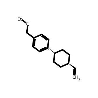 C=C[C@H]1CC[C@H](c2ccc(COCC)cc2)CC1